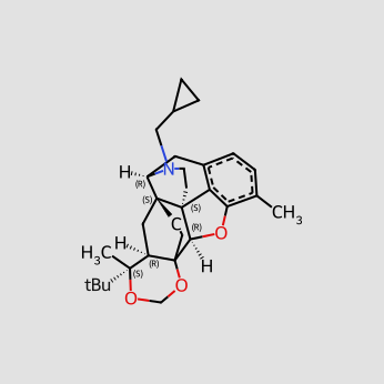 Cc1ccc2c3c1O[C@H]1C45CC[C@@]6(C[C@@H]4[C@@](C)(C(C)(C)C)OCO5)[C@@H](C2)N(CC2CC2)CC[C@]316